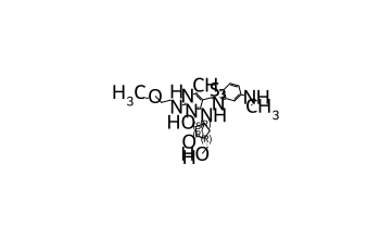 CCOCCNc1nc(C)c(-c2nc3cc(NC)ccc3s2)c(N[C@@H]2C[C@H](CO)[C@@H](O)[C@H]2O)n1